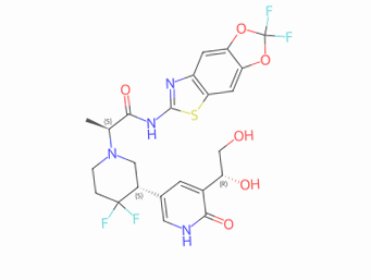 C[C@@H](C(=O)Nc1nc2cc3c(cc2s1)OC(F)(F)O3)N1CCC(F)(F)[C@@H](c2c[nH]c(=O)c([C@@H](O)CO)c2)C1